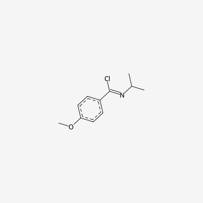 COc1ccc(C(Cl)=NC(C)C)cc1